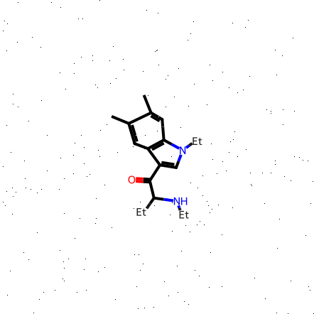 CCNC(CC)C(=O)c1cn(CC)c2cc(C)c(C)cc12